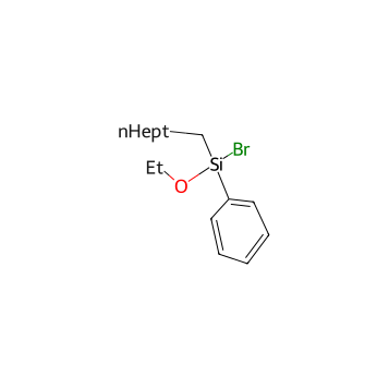 CCCCCCCC[Si](Br)(OCC)c1ccccc1